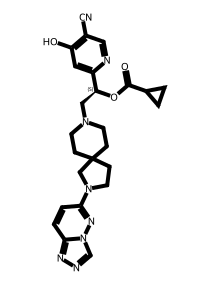 N#Cc1cnc([C@H](CN2CCC3(CC2)CCN(c2ccc4nncn4n2)C3)OC(=O)C2CC2)cc1O